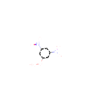 O=[N+]([O-])c1cc(OO)cc([N+](=O)[O-])c1